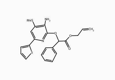 C=CCOC(=O)C(Oc1nc(-c2cccs2)cc(SC)c1N)c1ccccc1